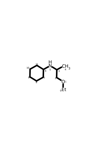 CCOCC(C)NC1CCCCC1